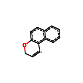 [C]1=CCOc2ccc3ccccc3c21